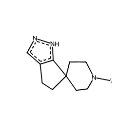 IN1CCC2(CCc3cn[nH]c32)CC1